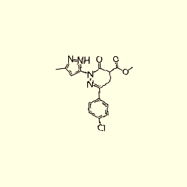 COC(=O)C1CC(c2ccc(Cl)cc2)=NN(c2cc(C)n[nH]2)C1=O